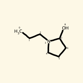 CC[CH]N1CCCC1O